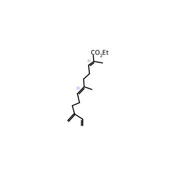 C=CC(=C)CC/C=C(\C)CC/C=C(\C)C(=O)OCC